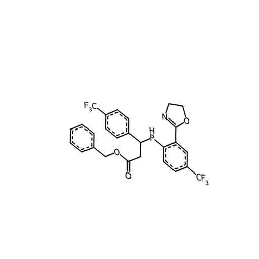 O=C(CC(Pc1ccc(C(F)(F)F)cc1C1=NCCO1)c1ccc(C(F)(F)F)cc1)OCc1ccccc1